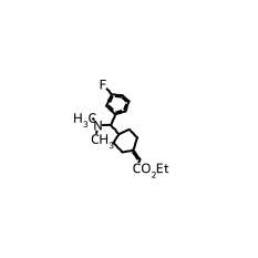 CCOC(=O)C=C1CCC(C(c2cccc(F)c2)N(C)C)CC1